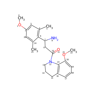 COc1cc(C)c(C(N)CC(=O)N2CCCc3cccc(OC)c32)c(C)c1